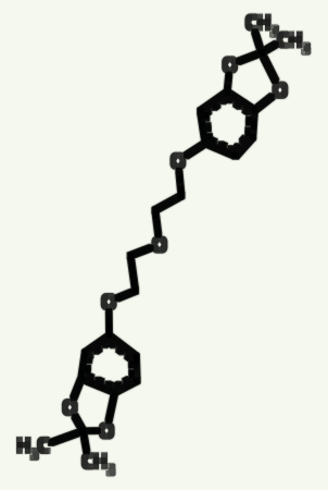 CC1(C)Oc2ccc(OCCOCCOc3ccc4c(c3)OC(C)(C)O4)cc2O1